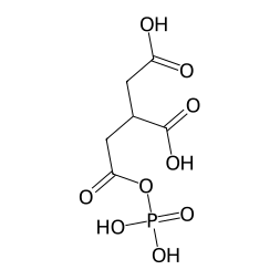 O=C(O)CC(CC(=O)OP(=O)(O)O)C(=O)O